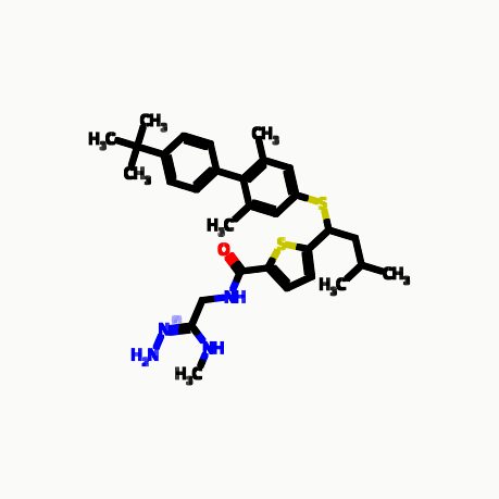 CN/C(CNC(=O)c1ccc(C(CC(C)C)Sc2cc(C)c(-c3ccc(C(C)(C)C)cc3)c(C)c2)s1)=N\N